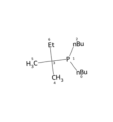 CCCCP(CCCC)C(C)(C)CC